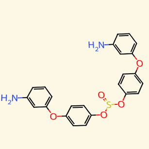 Nc1cccc(Oc2ccc(OS(=O)Oc3ccc(Oc4cccc(N)c4)cc3)cc2)c1